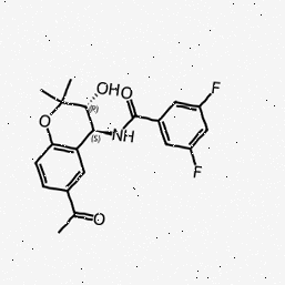 CC(=O)c1ccc2c(c1)[C@H](NC(=O)c1cc(F)cc(F)c1)[C@@H](O)C(C)(C)O2